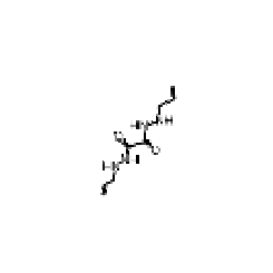 C=CCNNC(=O)C(=O)NNCC=C